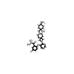 CCN(C(=O)c1cc(F)ccc1Oc1cncnc1N1CC2(CCN(CC3(O)CCC(N)CC3)CC2)C1)C(C)C